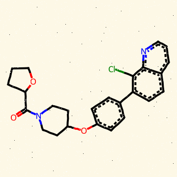 O=C(C1CCCO1)N1CCC(Oc2ccc(-c3ccc4cccnc4c3Cl)cc2)CC1